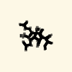 CCC(C)C(=O)C1=C(C)[C@](O)([C@H](CCC(C)C)ON)C(CCC(C)C)C1=O